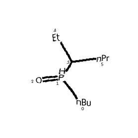 CCCC[PH](=O)C(CC)CCC